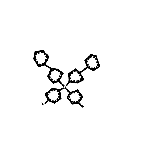 Cc1ccc(S(c2ccc(Br)cc2)(c2ccc(-c3ccccc3)cc2)c2ccc(-c3ccccc3)cc2)cc1